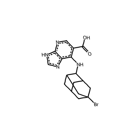 O=C(O)c1cnc2[nH]cnc2c1NC1C2CC3CC1CC(Br)(C3)C2